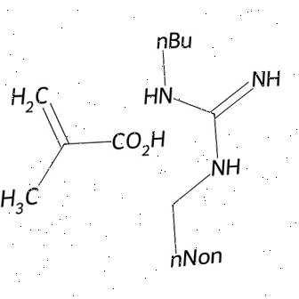 C=C(C)C(=O)O.CCCCCCCCCCNC(=N)NCCCC